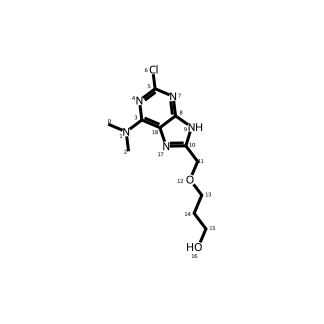 CN(C)c1nc(Cl)nc2[nH]c(COCCCO)nc12